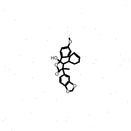 COc1ccc(C2(O)OC(=O)C(C)(c3ccc4c(c3)OCO4)C2C2CC=CCC2)cc1